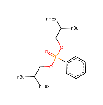 CCCCCCC(CCCC)COP(=O)(OCC(CCCC)CCCCCC)c1ccccc1